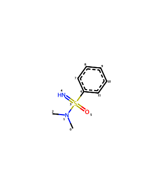 CN(C)S(=N)(=O)c1ccccc1